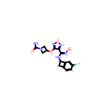 NC(=O)N1CC(Oc2nonc2C(=NO)NC2Cc3ccc(F)cc32)C1